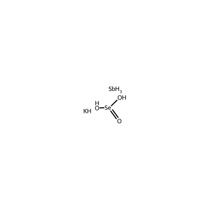 O=[Se](O)O.[KH].[SbH3]